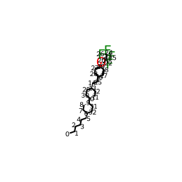 CCCCCC[C@H]1CC[C@H]([C@H]2CC[C@H](CCc3ccc(OC(F)C(F)(F)F)cc3)CC2)CC1